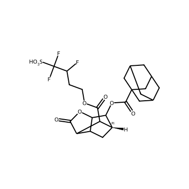 O=C1OC2C3C[C@@H](C2OC(=O)C24CC5CC(CC(C5)C2)C4)C(C(=O)OCCC(F)C(F)(F)S(=O)(=O)O)C13